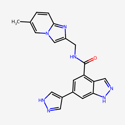 Cc1ccc2nc(CNC(=O)c3cc(-c4cn[nH]c4)cc4[nH]ncc34)cn2c1